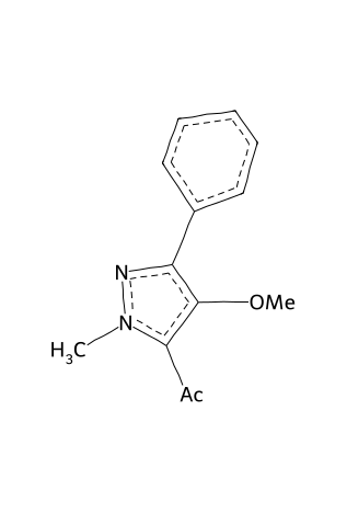 COc1c(-c2ccccc2)nn(C)c1C(C)=O